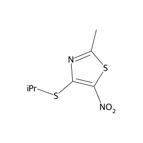 Cc1nc(SC(C)C)c([N+](=O)[O-])s1